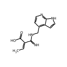 CC=C(C(=N)NCc1ccnc2[nH]ccc12)C(=O)O